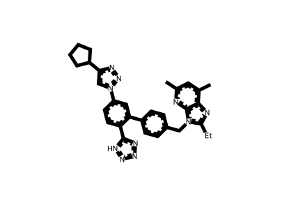 CCc1nc2c(C)cc(C)nc2n1Cc1ccc(-c2cc(-n3cc(C4CCCC4)nn3)ccc2-c2nnn[nH]2)cc1